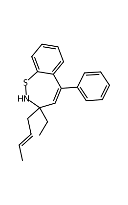 CC=CCC1(CC)C=C(c2ccccc2)c2ccccc2SN1